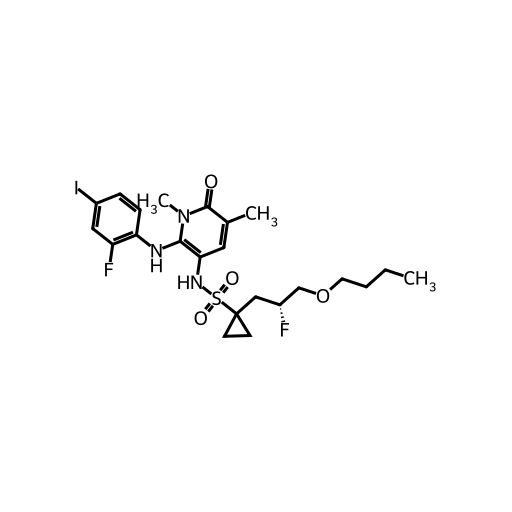 CCCCOC[C@H](F)CC1(S(=O)(=O)Nc2cc(C)c(=O)n(C)c2Nc2ccc(I)cc2F)CC1